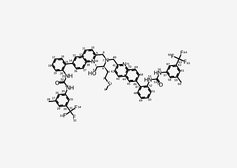 CSCC[C@@H](CO)N(Cc1ccc2cc(-c3ccccc3NC(=O)Nc3cc(C)cc(C(F)(F)F)c3)ccc2n1)Cc1ccc2cc(-c3ccccc3NC(=O)Nc3cc(C)cc(C(F)(F)F)c3)ccc2n1